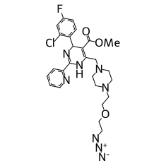 COC(=O)C1=C(CN2CCN(CCOCCN=[N+]=[N-])CC2)NC(c2ccccn2)=NC1c1ccc(F)cc1Cl